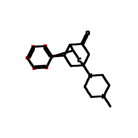 CN1CCN(C23CC(=O)C(C(c4ccccc4)C2)C(c2ccccc2)C3)CC1